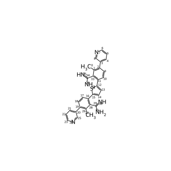 Cc1c(-c2cccnc2)ccc(-c2ccc(-c3ccc(-c4cccnc4)c(C)c3C(=N)N)s2)c1C(=N)N